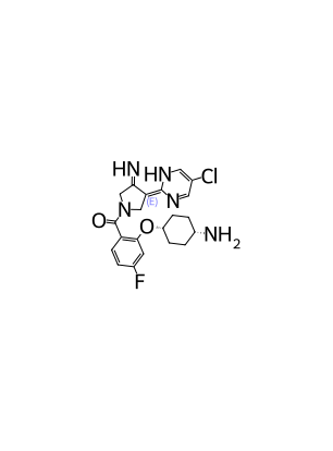 N=C1CN(C(=O)c2ccc(F)cc2O[C@H]2CC[C@@H](N)CC2)C/C1=C1\N=CC(Cl)=CN1